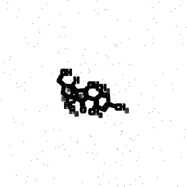 Cc1cc(C)c(C2=C(O)C3[C@@H]4O[C@@H](CC4CO)[C@]3(C)C2=O)c(C)c1